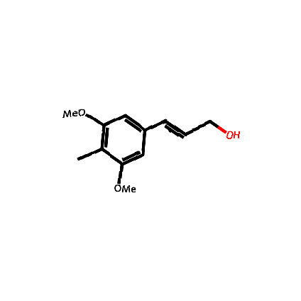 COc1cc(/C=C/CO)cc(OC)c1C